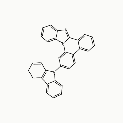 C1=Cc2c(c3ccccc3n2-c2ccc3c4ccccc4c4nc5ccccc5n4c3c2)CC1